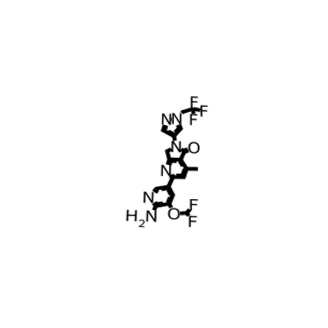 Cc1cc(-c2cnc(N)c(OC(F)F)c2)nc2c1C(=O)N(c1cnn(CC(F)(F)F)c1)C2